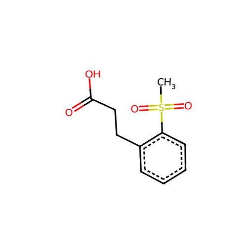 CS(=O)(=O)c1ccccc1CCC(=O)O